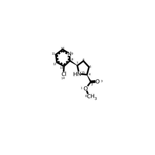 COC(=O)[C@@H]1CC[C@H](c2ncccc2Cl)N1